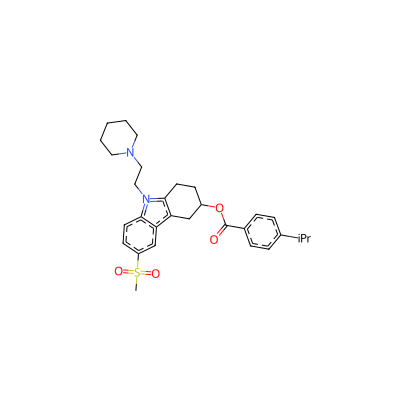 CC(C)c1ccc(C(=O)OC2CCc3c(c4cc(S(C)(=O)=O)ccc4n3CCN3CCCCC3)C2)cc1